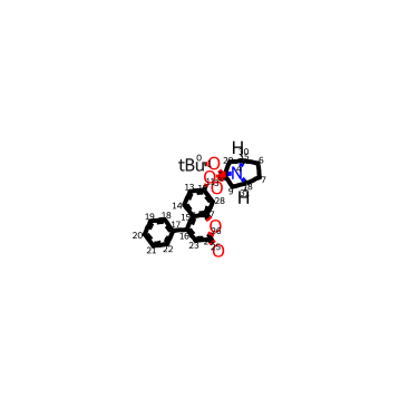 CC(C)(C)OC(=O)N1[C@@H]2CC[C@H]1C[C@@H](Oc1ccc3c(-c4ccccc4)cc(=O)oc3c1)C2